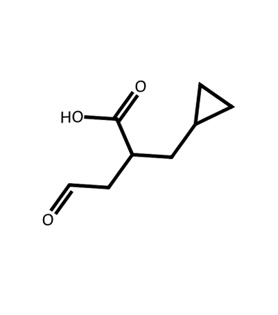 O=CCC(CC1CC1)C(=O)O